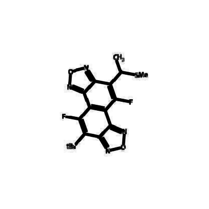 CSC(C)c1c(F)c2c3nonc3c(C(C)(C)C)c(F)c2c2nonc12